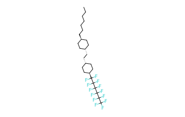 CCCCCCC[C@H]1CC[C@H](CC[C@H]2CC[C@H](C(F)(F)C(F)(F)C(F)(F)C(F)(F)C(F)(F)C(F)(F)F)CC2)CC1